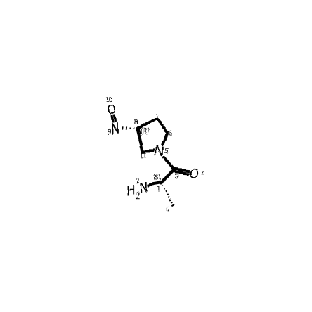 C[C@H](N)C(=O)N1CC[C@@H](N=O)C1